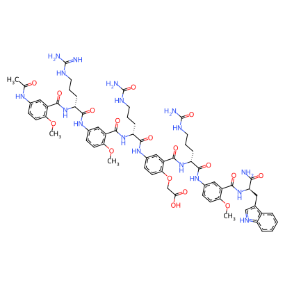 COc1ccc(NC(=O)[C@@H](CCCNC(N)=O)NC(=O)c2cc(NC(=O)[C@@H](CCCNC(N)=O)NC(=O)c3cc(NC(=O)[C@@H](CCCNC(=N)N)NC(=O)c4cc(NC(C)=O)ccc4OC)ccc3OC)ccc2OCC(=O)O)cc1C(=O)N[C@H](Cc1c[nH]c2ccccc12)C(N)=O